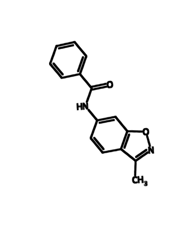 Cc1noc2cc(NC(=O)c3ccccc3)ccc12